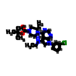 CCNc1cn(-c2cccc(Cl)c2)c2ncnc(N3CCN(C(=O)OC(C)(C)C)CC3C)c12